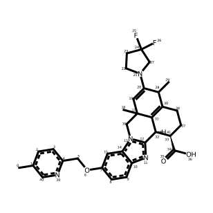 Cc1ccc(COc2ccc3nc4n(c3c2)CC2(C)C=C(N3CCC(F)(F)C3)C(C)C3=C2[C@H]4[C@H](C(=O)O)CC3)nc1